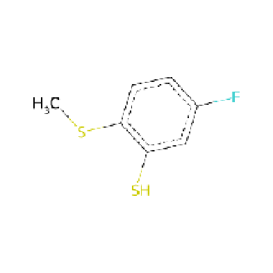 CSc1ccc(F)cc1S